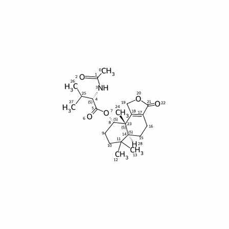 CC(=O)N[C@H](C(=O)O[C@H]1CCC(C)(C)[C@@H]2CCC3=C(COC3=O)[C@@]12C)C(C)C